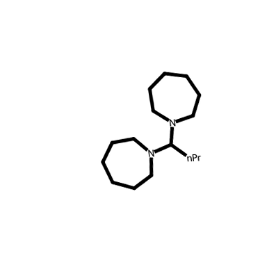 [CH2]CCC(N1CCCCCC1)N1CCCCCC1